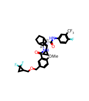 COc1ccc(COCC2CC2(F)F)cc1C(=O)N[C@@H]1C2CCC(/C2=C/C2CC2)[C@@H]1C(=O)Nc1ccc(F)c(C(F)(F)F)c1